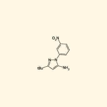 CC(C)(C)c1cc(N)n(-c2cccc([N+](=O)[O-])c2)n1